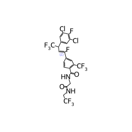 O=C(CNC(=O)c1ccc(/C(F)=C/C(c2cc(Cl)c(F)c(Cl)c2)C(F)(F)F)cc1C(F)(F)F)NCC(F)(F)F